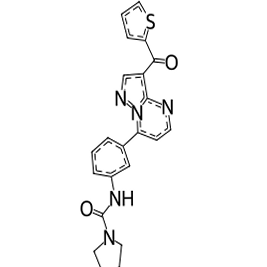 O=C(c1cccs1)c1cnn2c(-c3cccc(NC(=O)N4CCCC4)c3)ccnc12